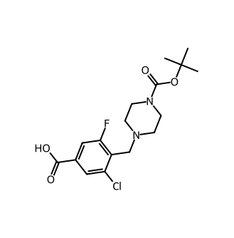 CC(C)(C)OC(=O)N1CCN(Cc2c(F)cc(C(=O)O)cc2Cl)CC1